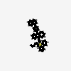 C=C(/C=C\C=C/C)S(C#Cc1c2c(c(-c3ccc(-c4cccc5ccccc45)cc3)c3ccccc13)C=C=CC=C2)(C1=CCCCC1)c1ccccc1